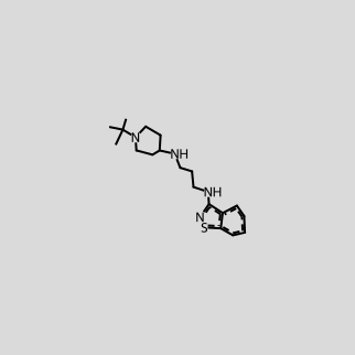 CC(C)(C)N1CCC(NCCCNc2nsc3ccccc23)CC1